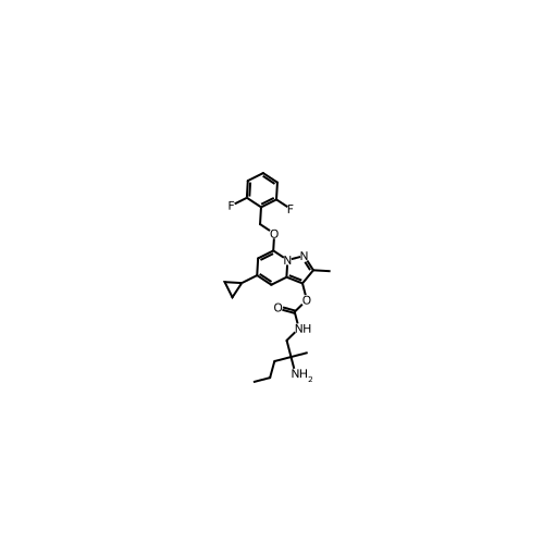 CCCC(C)(N)CNC(=O)Oc1c(C)nn2c(OCc3c(F)cccc3F)cc(C3CC3)cc12